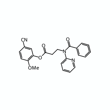 COc1ccc(C#N)cc1OC(=O)CCN(C(=O)C1=CC=C=C=C1)c1ccccn1